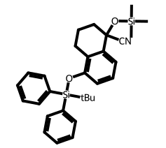 CC(C)(C)[Si](Oc1cccc2c1CCCC2(C#N)O[Si](C)(C)C)(c1ccccc1)c1ccccc1